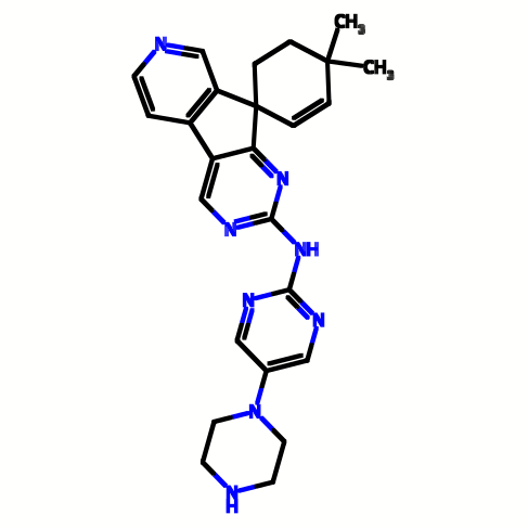 CC1(C)C=CC2(CC1)c1cnccc1-c1cnc(Nc3ncc(N4CCNCC4)cn3)nc12